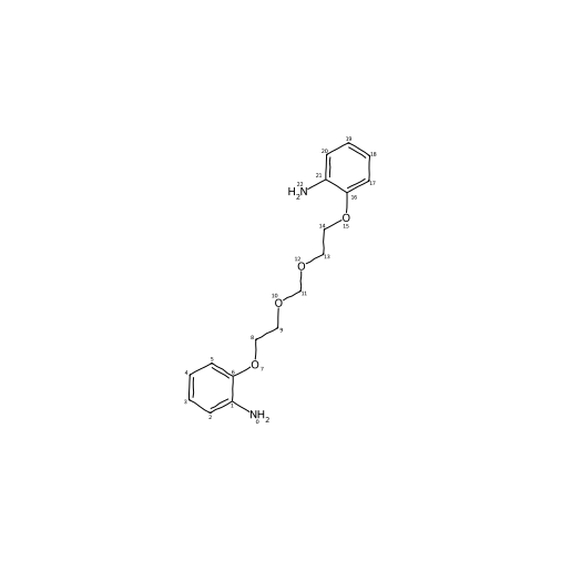 Nc1ccccc1OCCOCOCCOc1ccccc1N